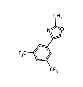 Cc1nc(-c2cc(C(F)(F)F)cc(C(F)(F)F)c2)co1